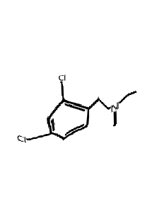 CN(C)[CH]c1ccc(Cl)cc1Cl